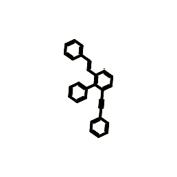 C(#Cc1cc[c]c(C=Cc2ccccc2)c1-c1ccccc1)c1ccccc1